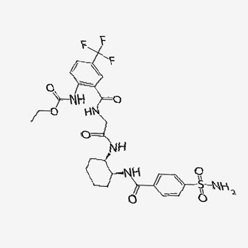 CCOC(=O)Nc1ccc(C(F)(F)F)cc1C(=O)NCC(=O)N[C@@H]1CCCC[C@@H]1NC(=O)c1ccc(S(N)(=O)=O)cc1